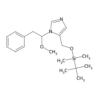 COC(Cc1ccccc1)n1cncc1CO[Si](C)(C)C(C)(C)C